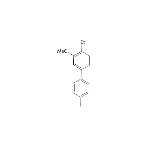 CCc1ccc(-c2ccc(C)cc2)cc1OC